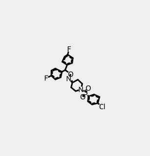 O=S(=O)(c1ccc(Cl)cc1)N1CCC(=NOC(c2ccc(F)cc2)c2ccc(F)cc2)CC1